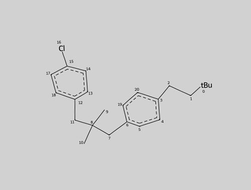 CC(C)(C)CCc1ccc(CC(C)(C)Cc2ccc(Cl)cc2)cc1